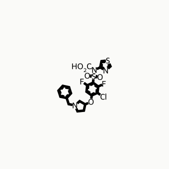 O=C(O)N(c1cscn1)S(=O)(=O)c1c(F)cc(OC2CCN(Cc3ccccc3)C2)c(Cl)c1F